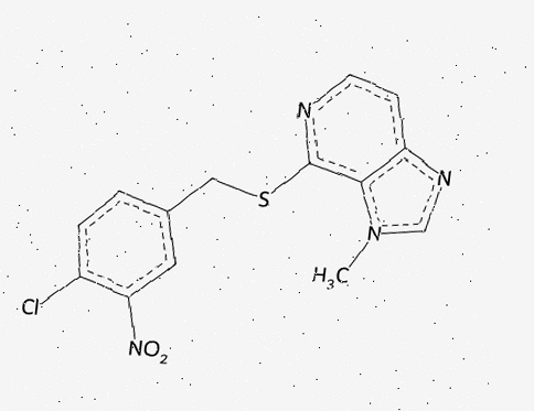 Cn1cnc2ccnc(SCc3ccc(Cl)c([N+](=O)[O-])c3)c21